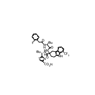 CC[C@H](C)[C@H](NC(=O)Cc1ccccc1F)C(=O)NC1(C(=O)N[C@H](c2nc(C(=O)O)cs2)[C@@H](C)CC)CCc2[nH]c3c(C(F)(F)F)cccc3c2C1